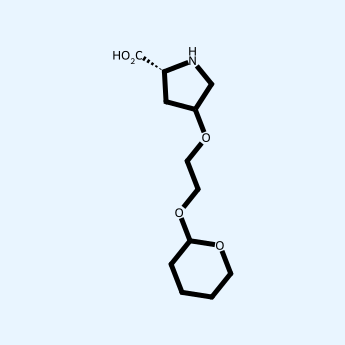 O=C(O)[C@H]1CC(OCCOC2CCCCO2)CN1